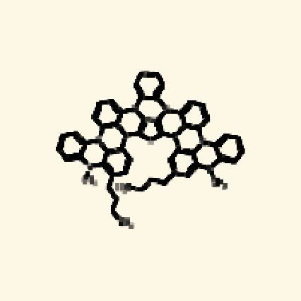 CCCCc1cc2c3c(c1)N(C)c1ccccc1N3c1cccc3c1B2c1sc2c4c1N3c1ccccc1N4c1cccc3c1B2c1ccc(CCCC)c2c1N3c1ccccc1N2C